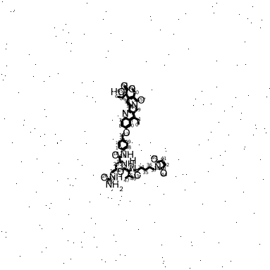 CCc1c2c(nc3ccc(OCc4ccc(NC(=O)[C@H](CCCNC(N)=O)NC(=O)[C@@H](NC(=O)CCCCN5C(=O)C=CC5=O)C(C)C)cc4)cc13)-c1cc3c(c(=O)n1C2)COC(=O)[C@]3(O)CC